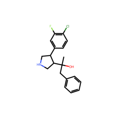 CC(O)(Cc1ccccc1)C1CNCC1c1ccc(Cl)c(F)c1